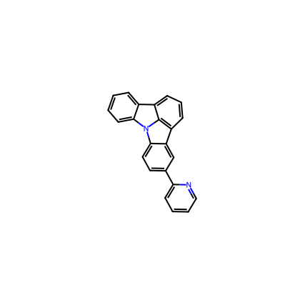 c1ccc(-c2ccc3c(c2)c2cccc4c5ccccc5n3c42)nc1